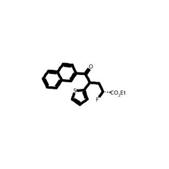 CCOC(=O)[C@H](F)CC(C(=O)c1ccc2ccccc2c1)c1cccs1